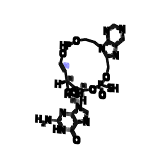 Nc1nc2c(ncn2[C@@H]2O[C@@H]3/C=C/OPOCCn4c(nc5cncnc54)COP(=O)(S)O[C@@H]2[C@@H]3O)c(=O)[nH]1